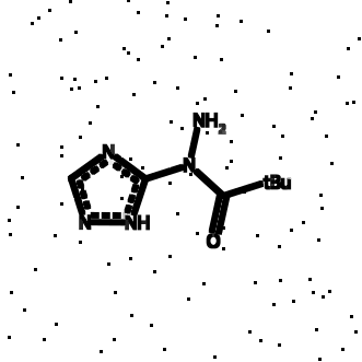 CC(C)(C)C(=O)N(N)c1ncn[nH]1